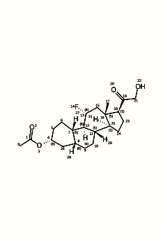 CC(=O)O[C@@H]1CC[C@H]2[C@H](CC[C@@H]3[C@@H]2[C@H](F)C[C@]2(C)[C@@H](C(=O)CO)CC[C@@H]32)C1